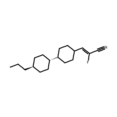 CCC[C@H]1CC[C@H](C2CCC(C=C(F)C#N)CC2)CC1